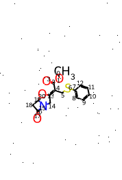 COC(=O)/C(CSc1ccccc1)=C1/CN2C(=O)CC2O1